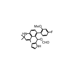 COc1cc(F)ccc1-c1ccc2c(c1C(OC=O)c1ccc[nH]1)C(C)=CC(C)(C)N2